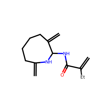 C=C1CCCCC(=C)C(NC(=O)C(=C)CC)N1